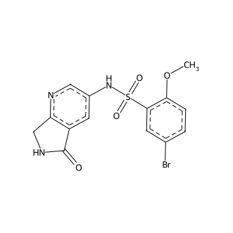 COc1ccc(Br)cc1S(=O)(=O)Nc1cnc2c(c1)C(=O)NC2